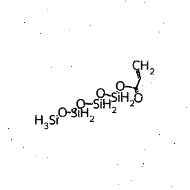 C=CC(=O)O[SiH2]O[SiH2]O[SiH2]O[SiH3]